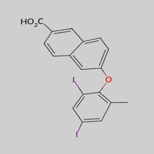 Cc1cc(I)cc(I)c1Oc1ccc2cc(C(=O)O)ccc2c1